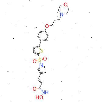 O=C(/C=C/c1ccn(S(=O)(=O)c2ccc(-c3ccc(OCCCN4CCOCC4)cc3)s2)c1)NO